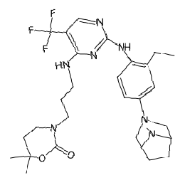 CCc1cc(N2CC3CCC(C2)N3C)ccc1Nc1ncc(C(F)(F)F)c(NCCCN2CCC(C)(C)OC2=O)n1